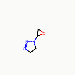 C1CN(C2CO2)N=N1